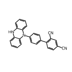 N#Cc1ccc(-c2ccc(N3c4ccccc4Nc4ccccc43)cc2)c(C#N)c1